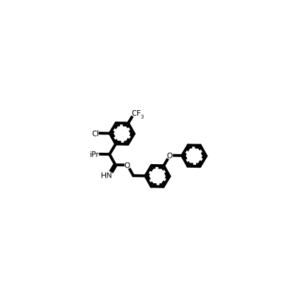 CC(C)C(C(=N)OCc1cccc(Oc2ccccc2)c1)c1ccc(C(F)(F)F)cc1Cl